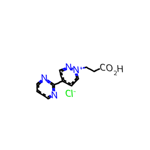 O=C(O)CC[n+]1ccc(-c2ncccn2)cn1.[Cl-]